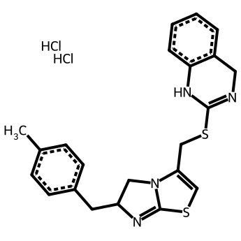 Cc1ccc(CC2CN3C(CSC4=NCc5ccccc5N4)=CSC3=N2)cc1.Cl.Cl